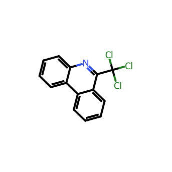 ClC(Cl)(Cl)c1nc2ccccc2c2ccccc12